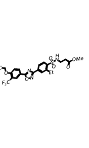 CCc1cc(-c2noc(-c3ccc(OCC(F)(F)F)c(C(F)(F)F)c3)n2)ccc1S(=O)(=O)NCCC(=O)OC